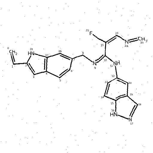 C=Cc1cc2ccc(C/N=C(Nc3ccc4[nH]ncc4c3)\C(F)=C/N=C)cc2[nH]1